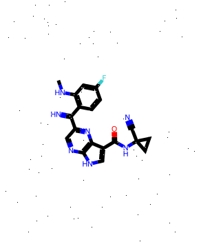 CNc1cc(F)ccc1C(=N)c1cnc2[nH]cc(C(=O)NC3(C#N)CC3)c2n1